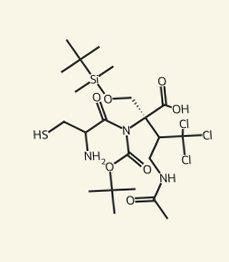 CC(=O)NCC(C(Cl)(Cl)Cl)[C@](CO[Si](C)(C)C(C)(C)C)(C(=O)O)N(C(=O)OC(C)(C)C)C(=O)C(N)CS